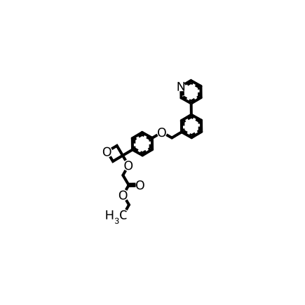 CCOC(=O)COC1(c2ccc(OCc3cccc(-c4cccnc4)c3)cc2)COC1